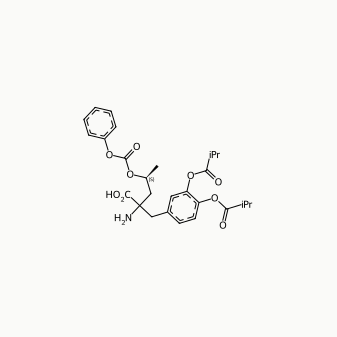 CC(C)C(=O)Oc1ccc(CC(N)(C[C@H](C)OC(=O)Oc2ccccc2)C(=O)O)cc1OC(=O)C(C)C